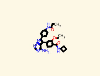 C=CC(=O)Nc1ccc(-c2nn3ncnc(N)c3c2-c2ccc(C(=O)NC3CCC3)c(OCC)c2)cc1